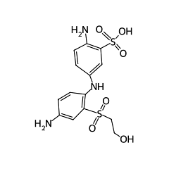 Nc1ccc(Nc2ccc(N)c(S(=O)(=O)O)c2)c(S(=O)(=O)CCO)c1